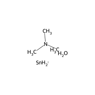 CN(C)C.O.[SnH2]